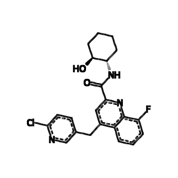 O=C(N[C@H]1CCCC[C@@H]1O)c1cc(Cc2ccc(Cl)nc2)c2cccc(F)c2n1